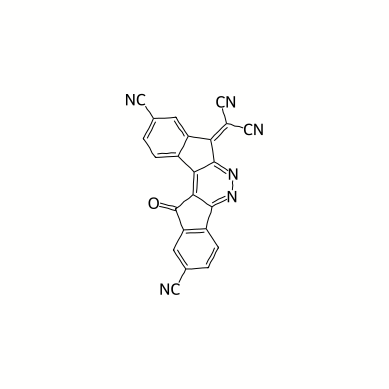 N#CC(C#N)=C1c2cc(C#N)ccc2-c2c1nnc1c2C(=O)c2cc(C#N)ccc2-1